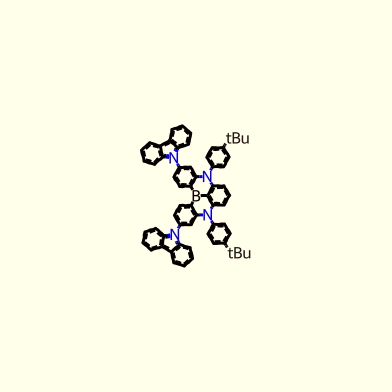 CC(C)(C)c1ccc(N2c3cc(-n4c5ccccc5c5ccccc54)ccc3B3c4ccc(-n5c6ccccc6c6ccccc65)cc4N(c4ccc(C(C)(C)C)cc4)c4cccc2c43)cc1